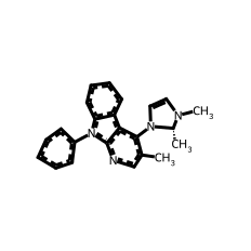 Cc1cnc2c(c1N1C=CN(C)[C@@H]1C)c1ccccc1n2-c1ccccc1